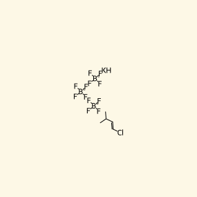 CC(C)C=CCl.F[B-](F)(F)F.F[B-](F)(F)F.F[B-](F)(F)F.[KH]